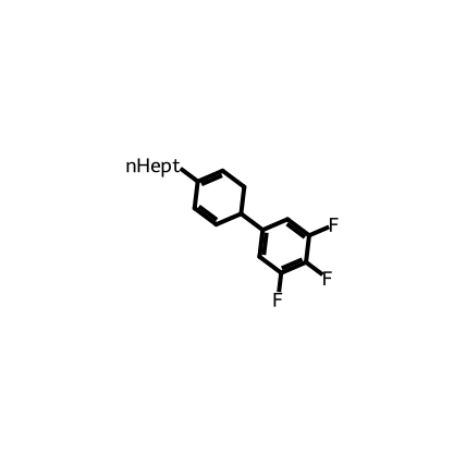 CCCCCCCC1=CCC(c2cc(F)c(F)c(F)c2)C=C1